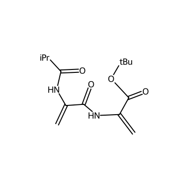 C=C(NC(=O)C(C)C)C(=O)NC(=C)C(=O)OC(C)(C)C